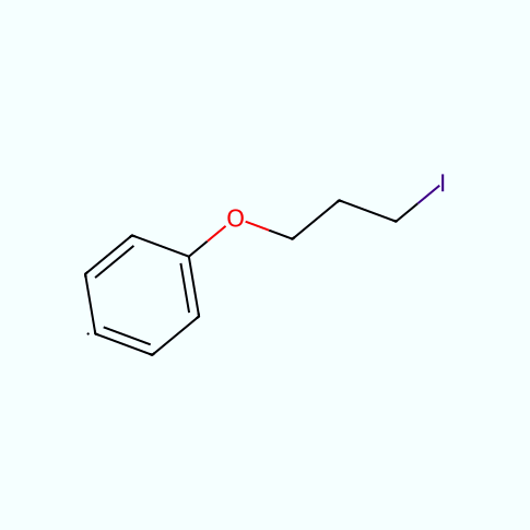 ICCCOc1cc[c]cc1